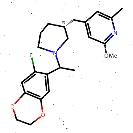 COc1cc(C[C@H]2CCCN(C(C)c3cc4c(cc3F)OCCO4)C2)cc(C)n1